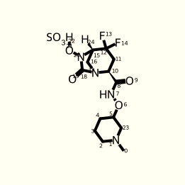 CN1CCCC(ONC(=O)[C@@H]2CC(F)(F)[C@@H]3CN2C(=O)N3OS(=O)(=O)O)C1